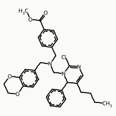 CCCCC1=CN=C(Cl)N(CN(Cc2ccc(C(=O)OC)cc2)Cc2ccc3c(c2)OCCO3)C1c1ccccc1